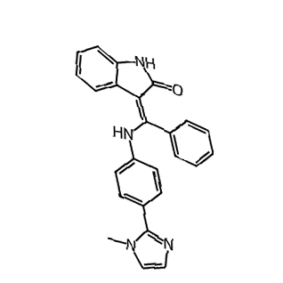 Cn1ccnc1-c1ccc(NC(=C2C(=O)Nc3ccccc32)c2ccccc2)cc1